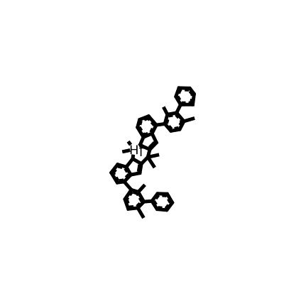 Cc1ccc(-c2cccc3c2C=C2[CH]3[Hf]([CH3])([CH3])[CH]3C(=Cc4c(-c5ccc(C)c(-c6ccccc6)c5C)cccc43)C2(C)C)c(C)c1-c1ccccc1